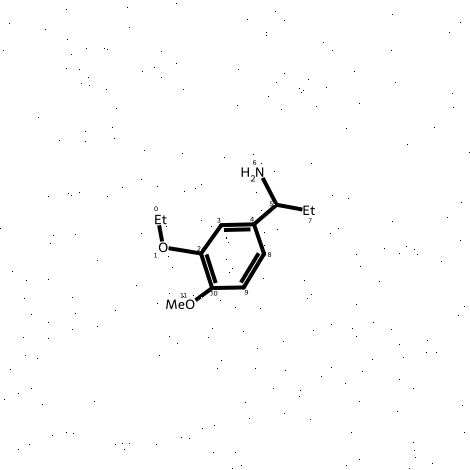 CCOc1cc(C(N)[13CH2]C)ccc1OC